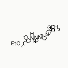 CCOC(=O)c1ccc(Nc2nccc(-n3ccc4c(N5CCC(S(C)(=O)=O)CC5)cccc43)n2)c2ccccc12